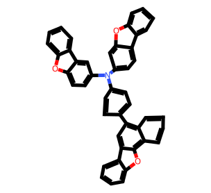 c1ccc2c(c1)oc1cc(N(c3ccc(-c4cc5c6ccccc6oc5c5ccccc45)cc3)c3ccc4oc5ccccc5c4c3)ccc12